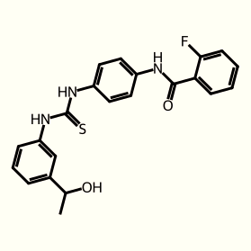 CC(O)c1cccc(NC(=S)Nc2ccc(NC(=O)c3ccccc3F)cc2)c1